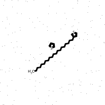 CCCCCCCCCCCCCCCCCCCCc1ccsc1.c1ccsc1